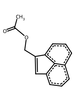 CC(=O)OCC1=Cc2cccc3cccc1c23